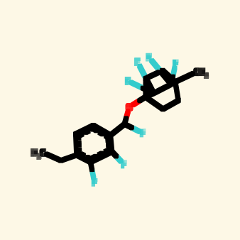 CCc1ccc(C(F)OC23CCC(C)(CC2)C(F)(F)C3(F)F)c(F)c1F